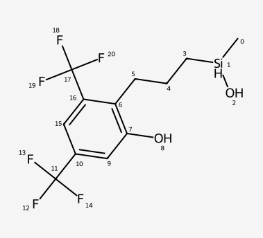 C[SiH](O)CCCc1c(O)cc(C(F)(F)F)cc1C(F)(F)F